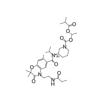 CCC(=O)NCCN1C(=O)C(C)(C)Oc2cc(C)c(C(=O)N(C(C)C)[C@@H]3CCCN(C(=O)OC(C)OC(=O)C(C)C)C3)cc21